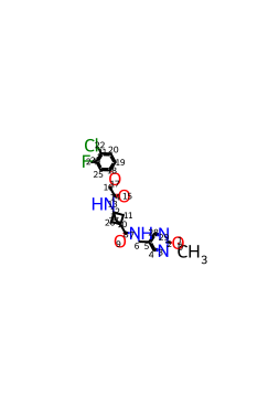 COc1ncc(CNC(=O)C23CC(NC(=O)COc4ccc(Cl)c(F)c4)(C2)C3)cn1